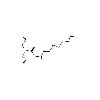 C=CCN(CC=C)C(=S)OC(C)CCCCCCCC